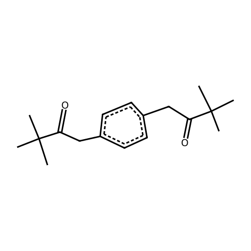 CC(C)(C)C(=O)Cc1ccc(CC(=O)C(C)(C)C)cc1